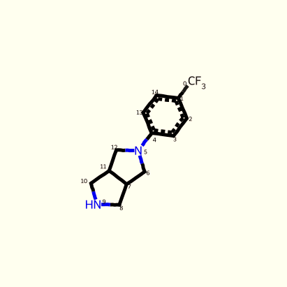 FC(F)(F)c1ccc(N2CC3CNCC3C2)cc1